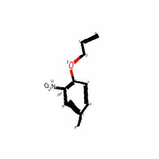 C=CCOc1ccc(C)cc1[N+](=O)[O-]